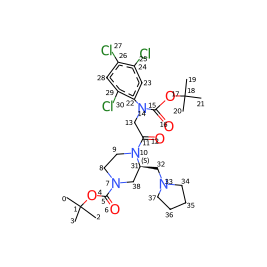 CC(C)(C)OC(=O)N1CCN(C(=O)CN(C(=O)OC(C)(C)C)c2cc(Cl)c(Cl)cc2Cl)[C@@H](CN2CCCC2)C1